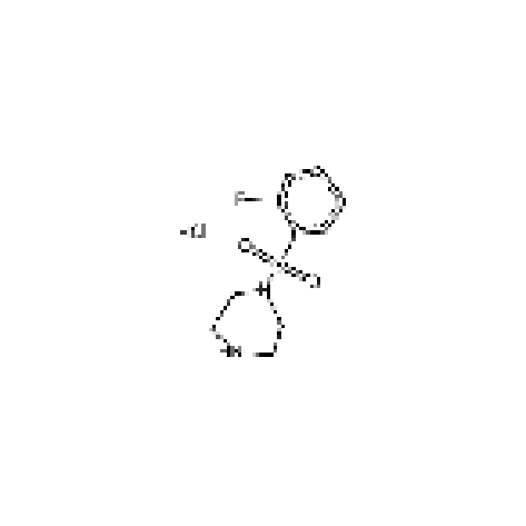 Cl.O=S(=O)(c1ccccc1F)N1CCNCC1